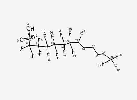 O=S(=O)(O)C(F)(F)C(F)(F)C(F)(F)C(F)(F)C(F)(F)C(F)(F)C(F)CCCCC(F)(F)F